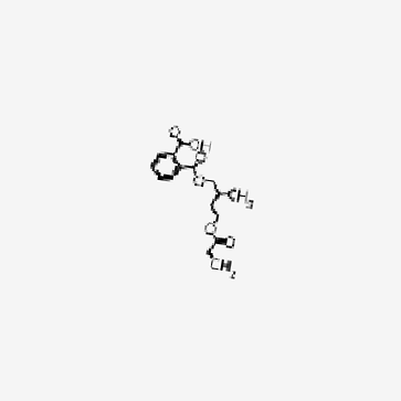 C=CC(=O)OCCC(C)COC(=O)c1ccccc1C(=O)O